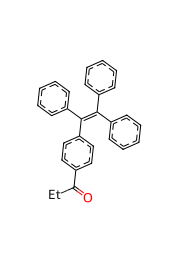 CCC(=O)c1ccc(C(=C(c2ccccc2)c2ccccc2)c2ccccc2)cc1